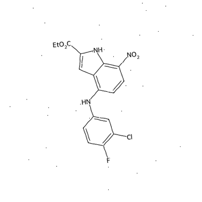 CCOC(=O)c1cc2c(Nc3ccc(F)c(Cl)c3)ccc([N+](=O)[O-])c2[nH]1